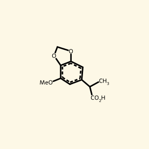 COc1cc(C(C)C(=O)O)cc2c1OCO2